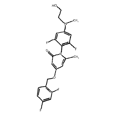 Cc1cc(OCc2ccc(F)cc2F)cc(=O)n1-c1c(F)cc(N(C)CCO)cc1F